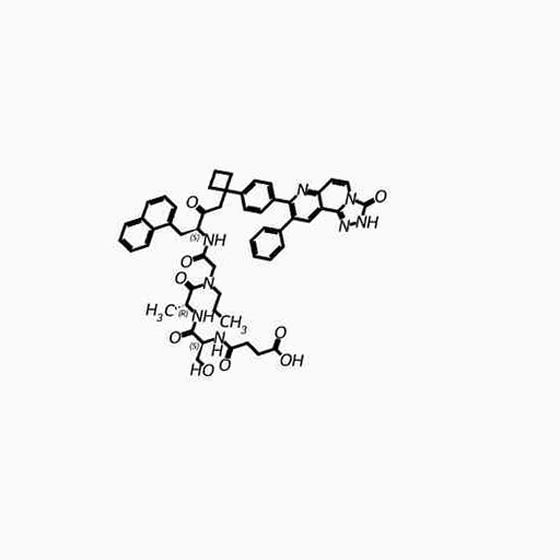 CCCN(CC(=O)N[C@@H](Cc1cccc2ccccc12)C(=O)CC1(c2ccc(-c3nc4ccn5c(=O)[nH]nc5c4cc3-c3ccccc3)cc2)CCC1)C(=O)[C@@H](C)NC(=O)[C@H](CO)NC(=O)CCC(=O)O